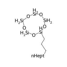 CCCCCCCCCC[SiH]1O[SiH2]O[SiH2]O[SiH2]O[SiH2]O1